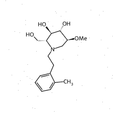 CO[C@H]1CN(CCc2ccccc2C)[C@H](CO)[C@@H](O)[C@@H]1O